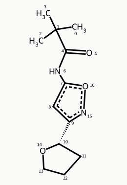 CC(C)(C)C(=O)Nc1cc([C@@H]2CCCO2)no1